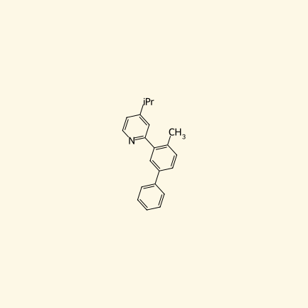 Cc1ccc(-c2ccccc2)cc1-c1cc(C(C)C)ccn1